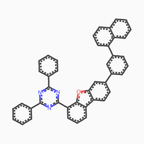 c1ccc(-c2nc(-c3ccccc3)nc(-c3cccc4c3oc3cc(-c5cccc(-c6cccc7ccccc67)c5)ccc34)n2)cc1